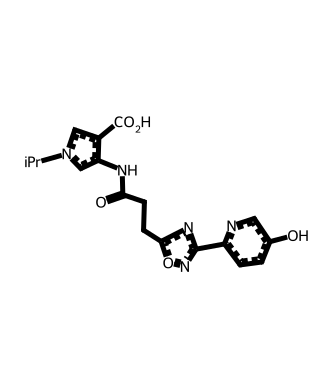 CC(C)n1cc(NC(=O)CCc2nc(-c3ccc(O)cn3)no2)c(C(=O)O)c1